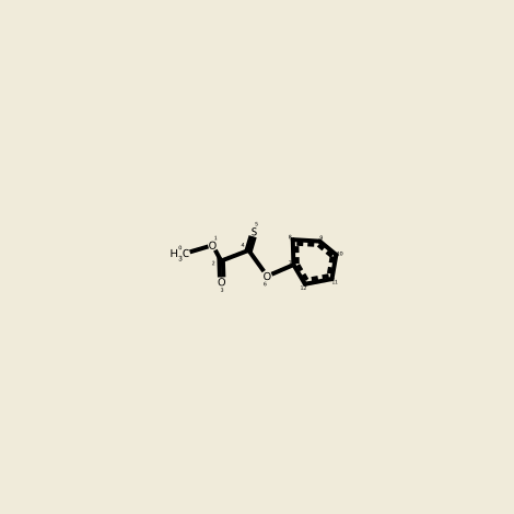 COC(=O)C(=S)Oc1ccccc1